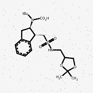 CC1(C)OCC(CNS(=O)(=O)C[C@@H]2c3ccccc3C[C@H]2N(C(=O)O)C(C)(C)C)O1